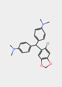 CN(C)c1ccc(C(c2ccc(N(C)C)cc2)c2cc3c(cc2Cl)OCO3)cc1